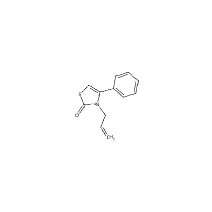 C=CCn1c(-c2ccccc2)csc1=O